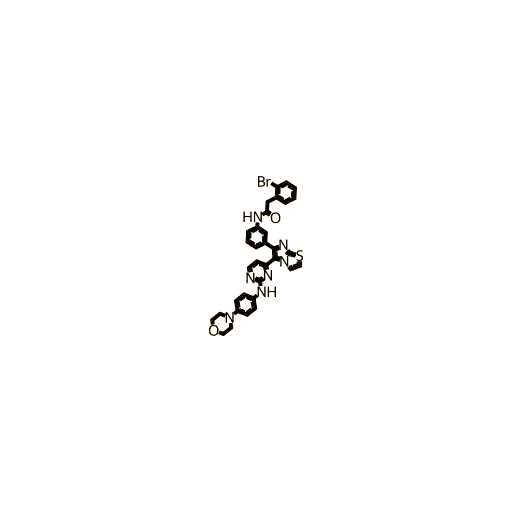 O=C(Cc1ccccc1Br)Nc1cccc(-c2nc3sccn3c2-c2ccnc(Nc3ccc(N4CCOCC4)cc3)n2)c1